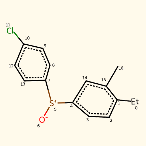 CCc1ccc([S+]([O-])c2ccc(Cl)cc2)cc1C